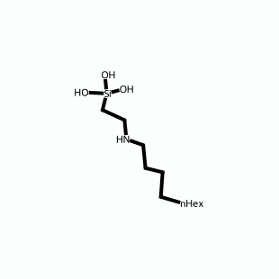 CCCCCCCCCCNCC[Si](O)(O)O